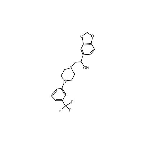 OC(CN1CCN(c2cccc(C(F)(F)F)c2)CC1)c1ccc2c(c1)OCO2